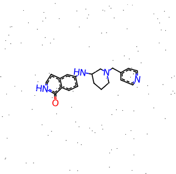 O=c1[nH]ccc2cc(NC3CCCN(Cc4ccncc4)C3)ccc12